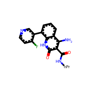 CCCNC(=O)c1c(N)c2cccc(-c3cnccc3F)c2[nH]c1=O